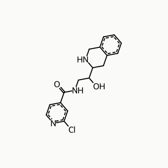 O=C(NCC(O)C1Cc2ccccc2CN1)c1ccnc(Cl)c1